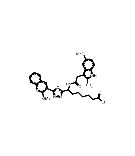 CCC(=O)CCCCCC(NC(=O)Cc1c(C)[nH]c2ccc(OC)cc12)c1nnc(-c2cc3ccccc3nc2OC)o1